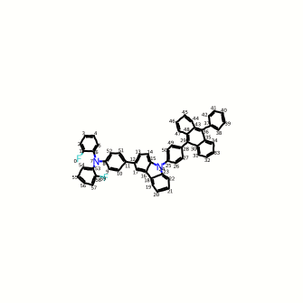 Fc1ccccc1N(c1ccc(-c2ccc3c(c2)c2ccccc2n3-c2ccc(-c3c4ccccc4c(-c4ccccc4)c4ccccc34)cc2)cc1)c1ccccc1F